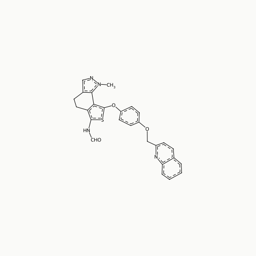 Cn1ncc2c1-c1c(Oc3ccc(OCc4ccc5ccccc5n4)cc3)sc(NC=O)c1CC2